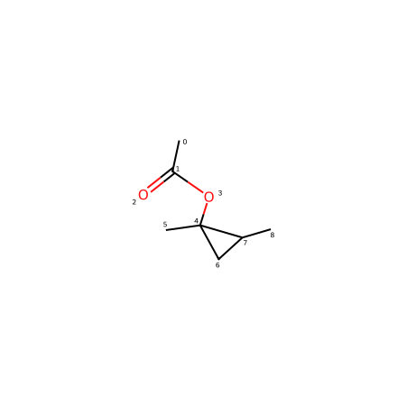 CC(=O)OC1(C)CC1C